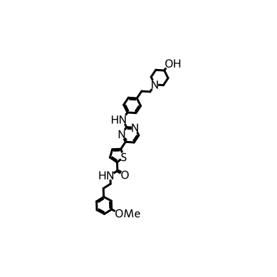 COc1cccc(CCNC(=O)c2ccc(-c3ccnc(Nc4ccc(CCN5CCC(O)CC5)cc4)n3)s2)c1